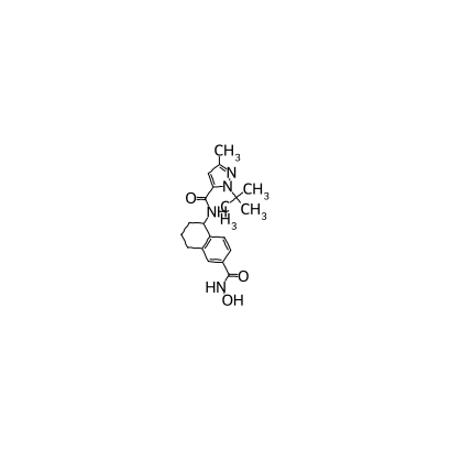 Cc1cc(C(=O)NC2CCCc3cc(C(=O)NO)ccc32)n(C(C)(C)C)n1